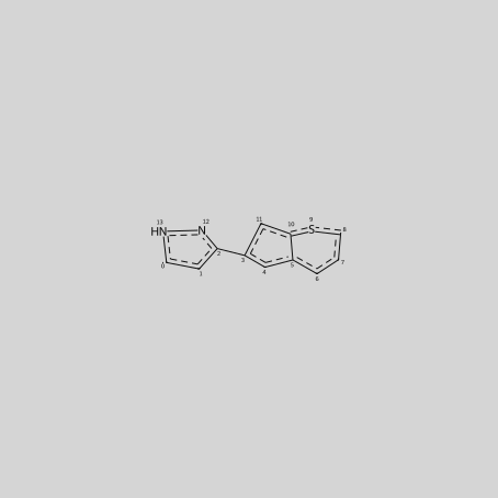 [c]1cc(-c2cc3cccsc-3c2)n[nH]1